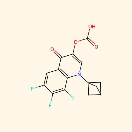 O=C(O)Oc1cn(C23CC(C2)C3)c2c(F)c(F)c(F)cc2c1=O